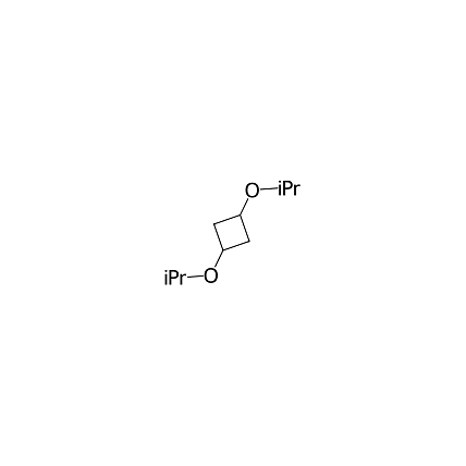 CC(C)OC1CC(OC(C)C)C1